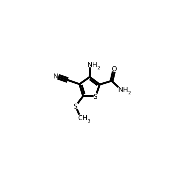 CSc1sc(C(N)=O)c(N)c1C#N